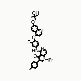 Cc1ccc(-c2cn(C(C)C)c3ccnc(Nc4ccc(Oc5ccnc6cc(OCC(C)(C)O)ccc56)c(F)c4)c3c2=O)cc1